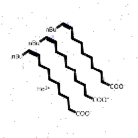 CCCC/C=C\CCCCCCCC(=O)[O-].CCCC/C=C\CCCCCCCC(=O)[O-].CCCC/C=C\CCCCCCCC(=O)[O-].[Ho+3]